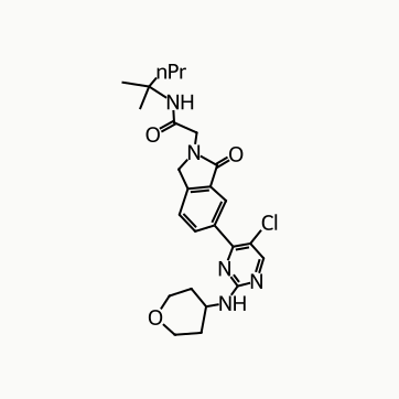 CCCC(C)(C)NC(=O)CN1Cc2ccc(-c3nc(NC4CCOCC4)ncc3Cl)cc2C1=O